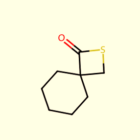 O=C1SCC12CCCCC2